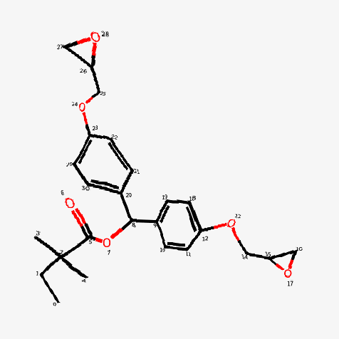 CCC(C)(C)C(=O)OC(c1ccc(OCC2CO2)cc1)c1ccc(OCC2CO2)cc1